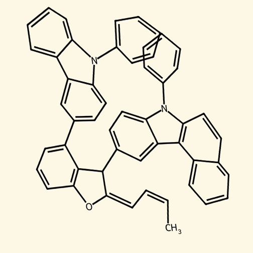 C/C=C\C=C1\Oc2cccc(-c3ccc4c(c3)c3ccccc3n4-c3ccccc3)c2C1c1ccc2c(c1)c1c3ccccc3ccc1n2-c1ccccc1